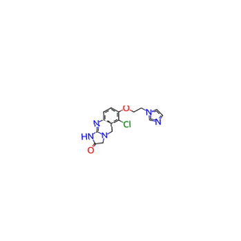 O=C1CN2Cc3c(ccc(OCCn4ccnc4)c3Cl)N=C2N1